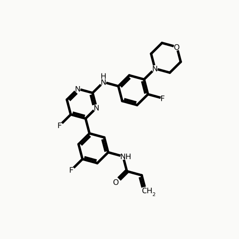 C=CC(=O)Nc1cc(F)cc(-c2nc(Nc3ccc(F)c(N4CCOCC4)c3)ncc2F)c1